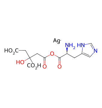 N[C@@H](Cc1cnc[nH]1)C(=O)OC(=O)CC(O)(CC(=O)O)C(=O)O.[Ag]